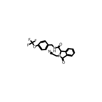 N#CCN1C(=O)c2ccccc2C1C(=O)NCc1ccc(OC(F)(F)F)cc1